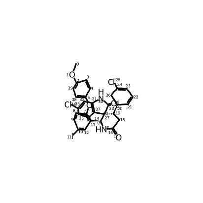 COc1ccc(Oc2ccc(I)cc2[C@@H]2NC(=O)CC([C@@H]3C=CC=C(Cl)C3)[C@]23C(=O)Nc2cc(Cl)ccc23)cc1